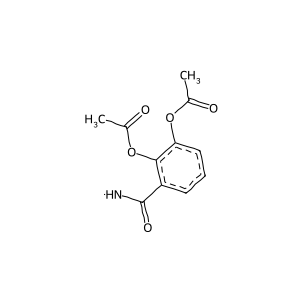 CC(=O)Oc1cccc(C([NH])=O)c1OC(C)=O